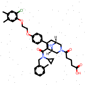 Cc1cc(Cl)c(OCCOc2ccc(C3=C(C(=O)N(Cc4ccccc4C)C4CC4)[C@H]4CN(C(=O)CCCC(=O)O)C[C@@H](C3)N4)cc2)cc1C